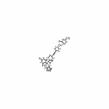 N#Cc1ccc(COc2ccc(C#Cc3ccc(C(F)(F)C(O)(Cn4cnnn4)c4ccc(F)cc4F)nc3)cc2)c(F)c1